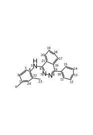 Cc1ccc(Nc2nnc(-c3ccccc3)c3ccccc23)c(C)c1